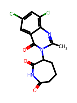 Cc1nc2c(Cl)cc(Cl)cc2c(=O)n1C1CCCC(=O)NC1=O